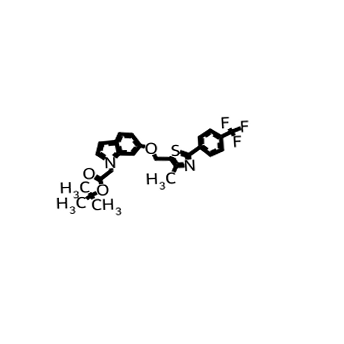 Cc1nc(-c2ccc(C(F)(F)F)cc2)sc1COc1ccc2ccn(CC(=O)OC(C)(C)C)c2c1